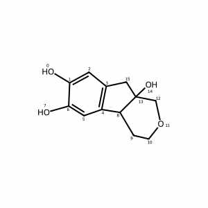 Oc1cc2c(cc1O)C1CCOCC1(O)C2